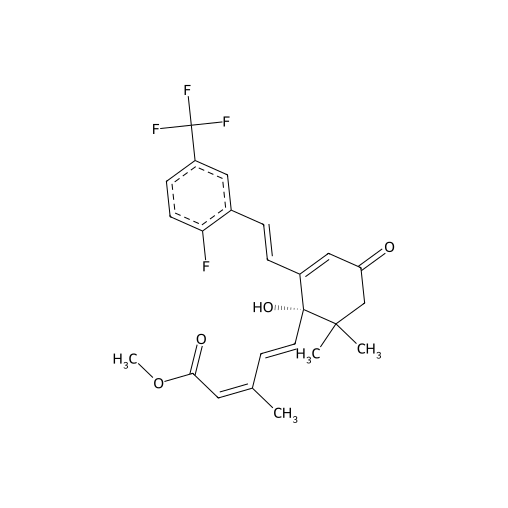 COC(=O)/C=C(C)\C=C\[C@@]1(O)C(/C=C/c2cc(C(F)(F)F)ccc2F)=CC(=O)CC1(C)C